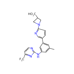 Cc1cc(Nc2nccc(C(F)(F)F)n2)cc(-c2ccc(N3CC(C(=O)O)C3)nc2)c1